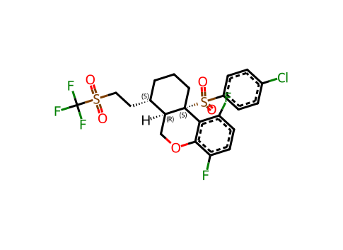 O=S(=O)(CC[C@@H]1CCC[C@@]2(S(=O)(=O)c3ccc(Cl)cc3)c3c(F)ccc(F)c3OC[C@@H]12)C(F)(F)F